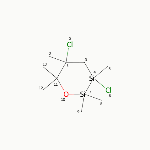 CC1(Cl)C[Si](C)(Cl)[Si](C)(C)OC1(C)C